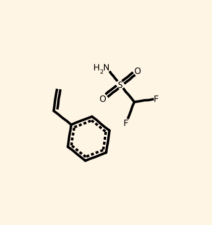 C=Cc1ccccc1.NS(=O)(=O)C(F)F